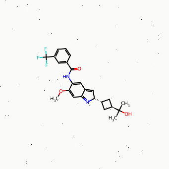 COc1cc2c(cc1NC(=O)c1cccc(C(F)(F)F)c1)=CC([C@H]1C[C@H](C(C)(C)O)C1)N=2